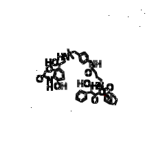 CC(C)(Cc1ccc(NC(=O)CCCNC(=O)CN2C3CCC2CC(OC(=O)C(CO)c2ccccc2)C3)cc1)NCC(O)c1ccc(O)c2c1OCC(=O)N2